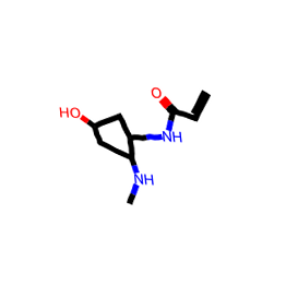 C=CC(=O)NC1CC(O)CC1NC